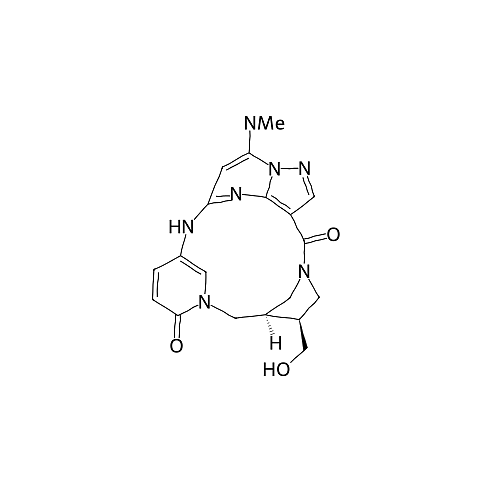 CNc1cc2nc3c(cnn13)C(=O)N1C[C@@H](CO)[C@H](C1)Cn1cc(ccc1=O)N2